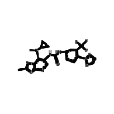 Cc1nc2c(N(C)C3CC3)c(NC(=O)Nc3ccc(-n4nccn4)c(C(F)(F)F)c3)cnc2s1